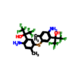 Cc1cc(N)c(C(O)(C(F)(F)F)C(F)(F)F)cc1Sc1cc(C(O)(C(F)(F)F)C(F)(F)F)c(N)cc1C